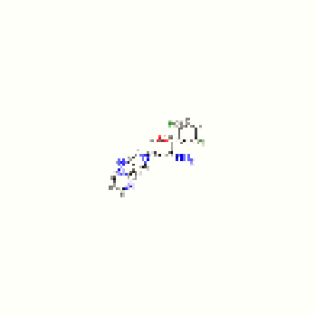 NC1CC(N2Cc3nn4cccnc4c3C2)CO[C@@H]1C1CC(F)=CC=C1F